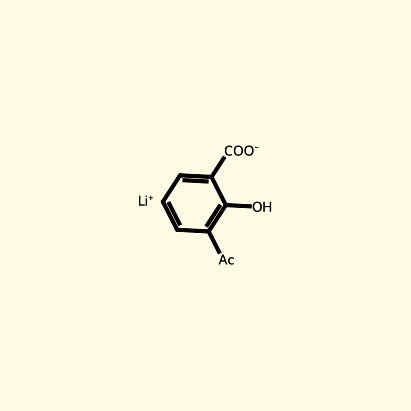 CC(=O)c1cccc(C(=O)[O-])c1O.[Li+]